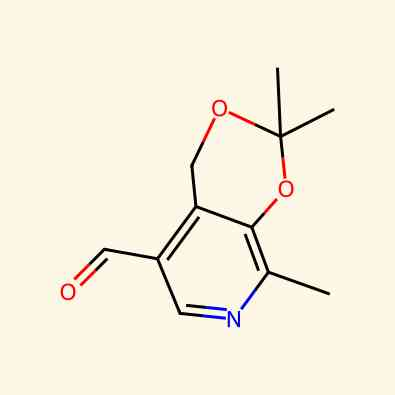 Cc1ncc(C=O)c2c1OC(C)(C)OC2